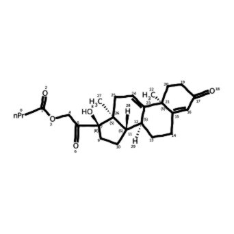 CCCC(=O)OCC(=O)[C@@]1(O)CC[C@H]2[C@@H]3CCC4=CC(=O)CC[C@]4(C)C3=CC[C@@]21C